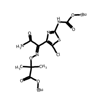 CC(C)(C)OC(=O)Nc1nc(/C(=N/OC(C)(C)C(=O)OC(C)(C)C)C(N)=O)c(Cl)s1